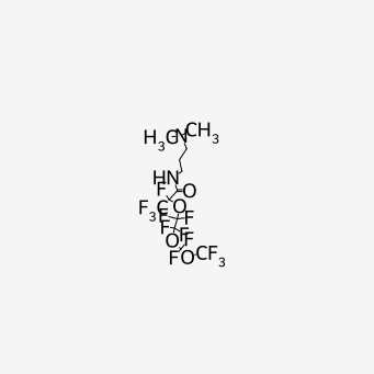 CN(C)CCCNC(=O)C(F)(OC(F)(F)C(F)(F)OC(F)(F)OC(F)(F)F)C(F)(F)F